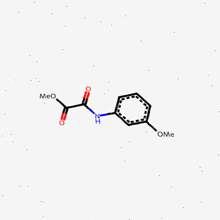 COC(=O)C(=O)Nc1cccc(OC)c1